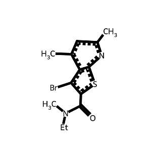 CCN(C)C(=O)c1sc2nc(C)cc(C)c2c1Br